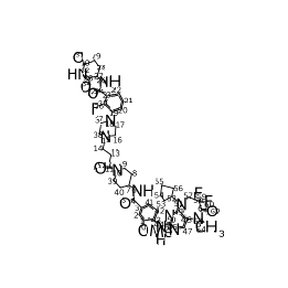 COc1cc(C(=O)NC2CCN(C(=O)CCN3CCN(c4cccc(C(=O)NC5CCC(=O)NC5=O)c4F)CC3)CC2)ccc1Nc1ncc2c(n1)N(C1CCCC1)CC(F)(F)C(=O)N2C